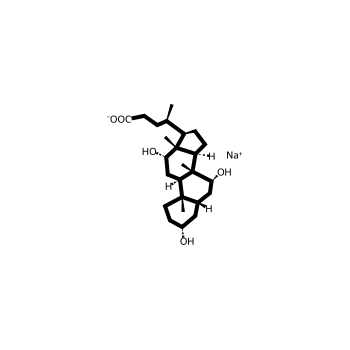 C[C@H](CCC(=O)[O-])[C@H]1CC[C@@H]2[C@]1(C)[C@@H](O)C[C@@H]1[C@@]3(C)CC[C@@H](O)C[C@H]3C[C@@H](O)[C@@]21C.[Na+]